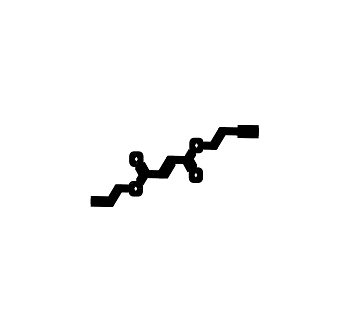 C#CCCOC(=O)C=CC(=O)OCC=C